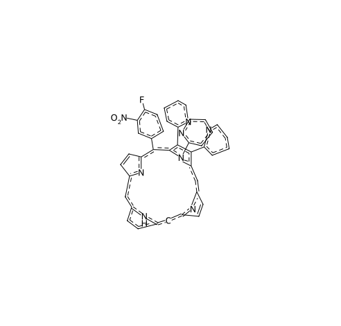 O=[N+]([O-])c1cc(-c2c3nc(cc4ccc(cc5nc(cc6c(-c7ccccn7)c(-c7ccccn7)c2n6-c2ccccn2)C=C5)[nH]4)C=C3)ccc1F